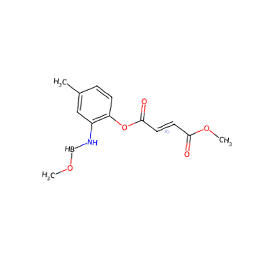 COBNc1cc(C)ccc1OC(=O)/C=C/C(=O)OC